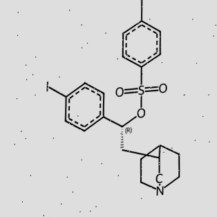 Cc1ccc(S(=O)(=O)O[C@H](CC2CN3CCC2CC3)c2ccc(I)cc2)cc1